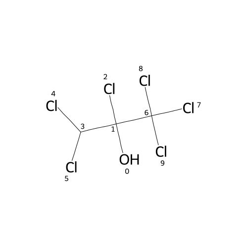 OC(Cl)(C(Cl)Cl)C(Cl)(Cl)Cl